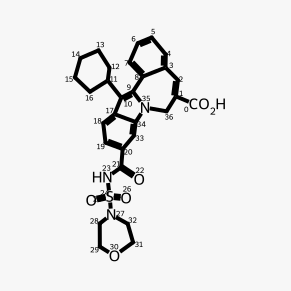 O=C(O)C1=Cc2ccccc2-c2c(C3CCCCC3)c3ccc(C(=O)NS(=O)(=O)N4CCOCC4)cc3n2C1